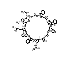 CC(C)[C@@H]1NC(=O)[C@H](Cc2ccccc2)NC(=O)CSC[C@@H](C(=O)NCC(N)=O)NC(=O)[C@H](Cc2cncn2C)NC(=O)[C@H](CCCNC(=N)N)NC(=O)[C@H](Cc2cnc[nH]2)NC(=O)[C@H](Cc2ccccc2)N(C)C(=O)[C@H](CCCNC(=N)N)NC(=O)[C@H](CO)NC(=O)CNC(=O)[C@H](Cc2cnc[nH]2)NC(=O)[C@H](Cc2c[nH]c3ccccc23)NC1=O